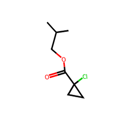 CC(C)COC(=O)C1(Cl)CC1